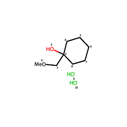 COCC1(O)CCCCC1.Cl.Cl